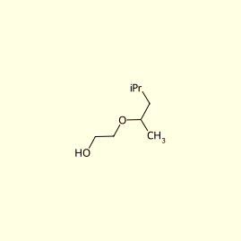 CC(C)CC(C)OCCO